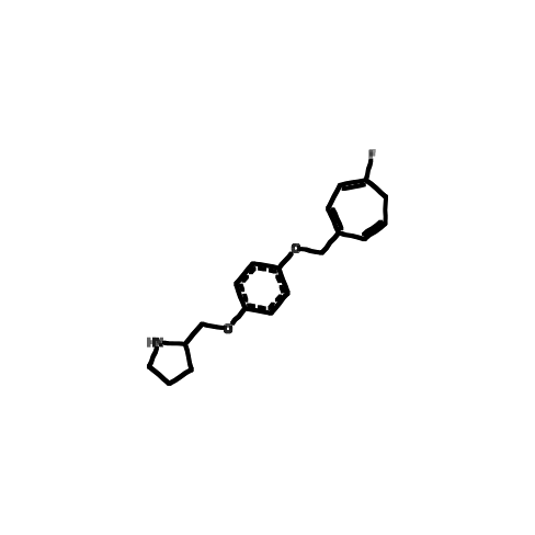 FC1=CC=C(COc2ccc(OCC3CCCN3)cc2)C=CC1